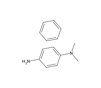 CN(C)c1ccc(N)cc1.c1ccccc1